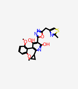 COc1cccc(OC)c1-c1c(C2CC2)nc(O)c(-c2nnc(Cc3csc(C)n3)o2)c1O